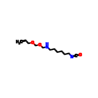 C=CCOCOCNCCCCCCN=C=O